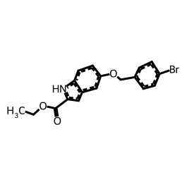 CCOC(=O)c1cc2cc(OCc3ccc(Br)cc3)ccc2[nH]1